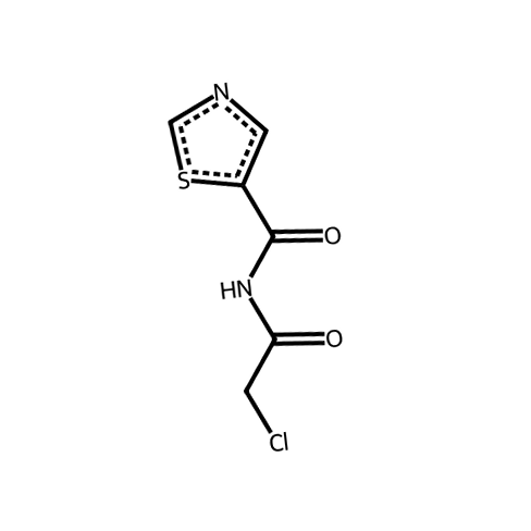 O=C(CCl)NC(=O)c1cncs1